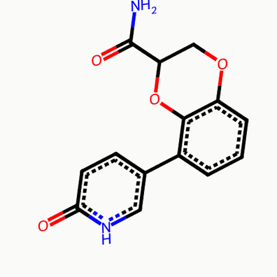 NC(=O)C1COc2cccc(-c3ccc(=O)[nH]c3)c2O1